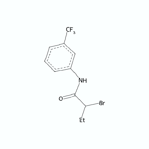 CCC(Br)C(=O)Nc1cccc(C(F)(F)F)c1